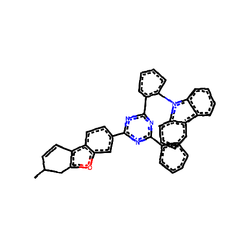 CC1C=Cc2c(oc3cc(-c4nc(-c5ccccc5)nc(-c5ccccc5-n5c6ccccc6c6ccccc65)n4)ccc23)C1